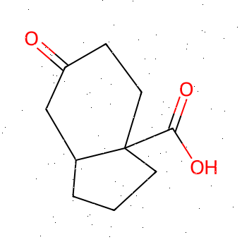 O=C1CCC2(C(=O)O)CCCC2C1